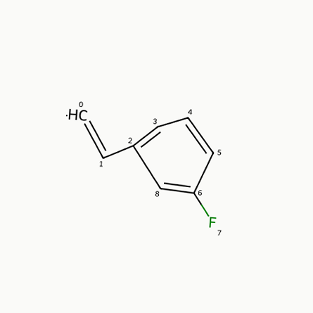 [CH]=Cc1cccc(F)c1